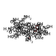 CSCC[C@H](NC(=O)[C@H](Cc1ccc(O)cc1)NC(=O)[C@H](CO)NC(=O)[C@@H](NC(=O)[C@H](CO)NC(=O)[C@@H](N)CO)C(C)C)C(=O)N[C@@H](CC(N)=O)C(=O)N[C@@H](Cc1c[nH]c2ccccc12)C(=O)N[C@@H](Cc1ccc(O)cc1)C(=O)N[C@@H](CCC(N)=O)C(=O)N[C@@H](CCC(N)=O)C(=O)N[C@@H](CCCCN)C(=O)N[C@@H](CO)C(=O)O